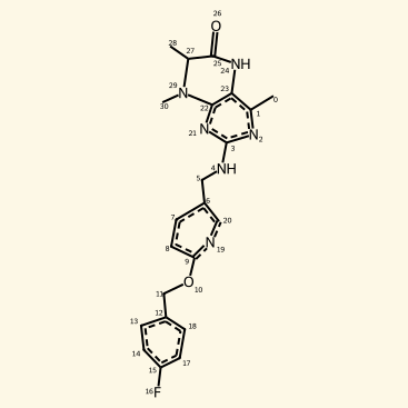 Cc1nc(NCc2ccc(OCc3ccc(F)cc3)nc2)nc2c1NC(=O)C(C)N2C